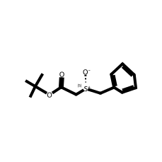 CC(C)(C)OC(=O)C[S@+]([O-])Cc1ccccc1